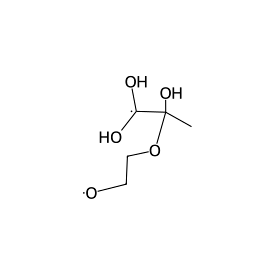 CC(O)(OCC[O])[C](O)O